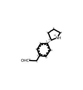 O=CCc1ccc([C@@H]2CCCN2)cc1